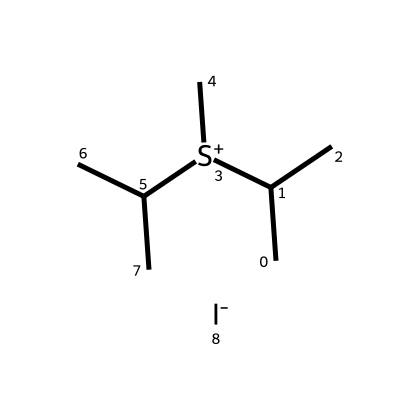 CC(C)[S+](C)C(C)C.[I-]